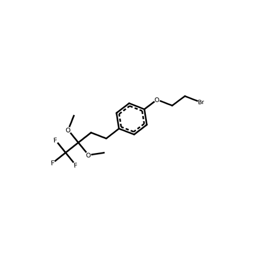 COC(CCc1ccc(OCCBr)cc1)(OC)C(F)(F)F